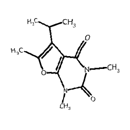 Cc1oc2c(c1C(C)C)c(=O)n(C)c(=O)n2C